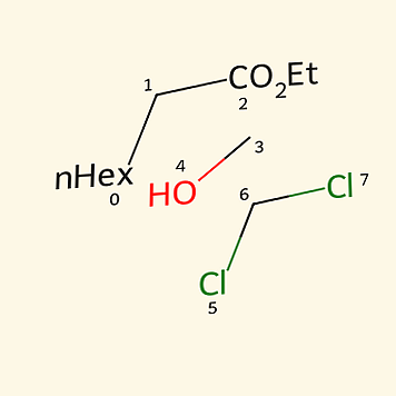 CCCCCCCC(=O)OCC.CO.ClCCl